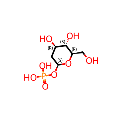 O=P(O)(O)O[C@H]1C[C@@H](O)[C@H](O)[C@@H](CO)O1